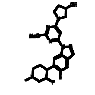 COc1nc(N2CCC(O)C2)cc(-n2ncc3cc(C)c(C4CCN(C)CC4F)cc32)n1